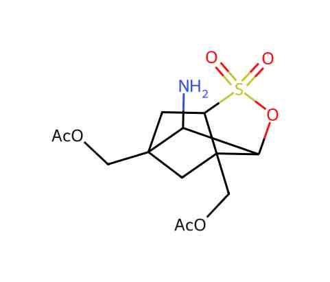 CC(=O)OCC12CC3C(COC(C)=O)(C1)C(OS3(=O)=O)C2N